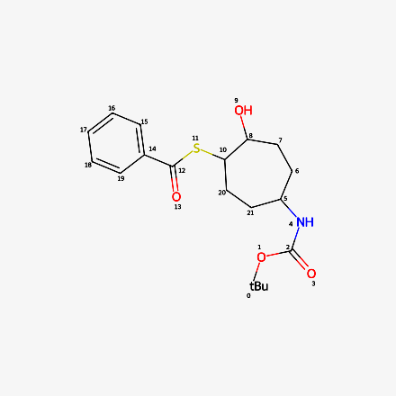 CC(C)(C)OC(=O)NC1CCC(O)C(SC(=O)c2ccccc2)CC1